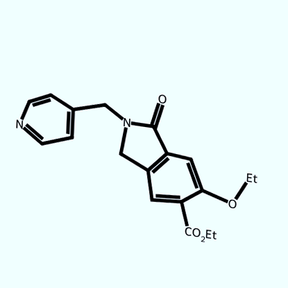 CCOC(=O)c1cc2c(cc1OCC)C(=O)N(Cc1ccncc1)C2